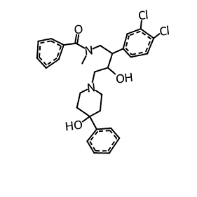 CN(CC(c1ccc(Cl)c(Cl)c1)C(O)CN1CCC(O)(c2ccccc2)CC1)C(=O)c1ccccc1